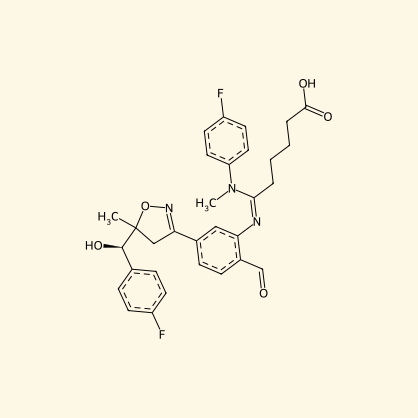 CN(/C(CCCCC(=O)O)=N\c1cc(C2=NOC(C)([C@H](O)c3ccc(F)cc3)C2)ccc1C=O)c1ccc(F)cc1